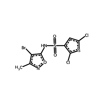 Cc1noc(NS(=O)(=O)c2cc(Cl)sc2Cl)c1Br